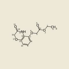 CCOC(=O)COc1cccc2c1NC(=O)CO2